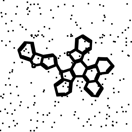 c1ccc2c(c1)oc1cc(-n3c4ccccc4c4c5c6ccccc6c6ccccc6c5c5c6ccccc6oc5c43)ccc12